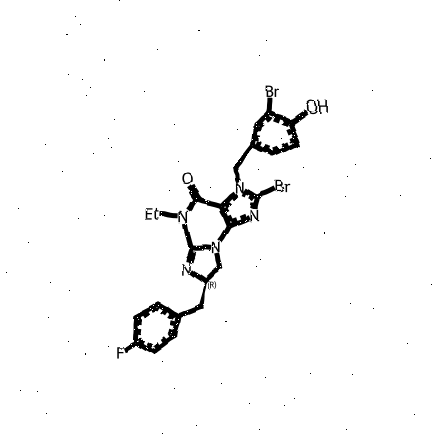 CCN1C(=O)c2c(nc(Br)n2Cc2ccc(O)c(Br)c2)N2C[C@@H](Cc3ccc(F)cc3)N=C12